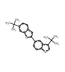 CC(C)(C)c1ccc2cc(-c3ccc4occ(C(C)(C)C)c4c3)oc2c1